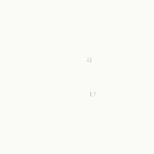 CCC[CH](C)[Al]